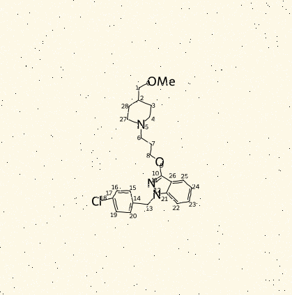 COCC1CCN(CCCOc2nn(Cc3ccc(Cl)cc3)c3ccccc23)CC1